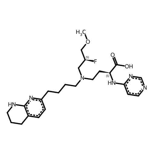 COC[C@@H](F)CN(CCCCc1ccc2c(n1)NCCC2)CC[C@H](Nc1ccncn1)C(=O)O